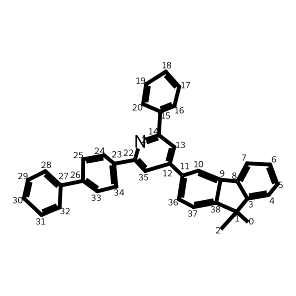 CC1(C)c2ccccc2-c2cc(-c3cc(-c4ccccc4)nc(-c4ccc(-c5ccccc5)cc4)c3)ccc21